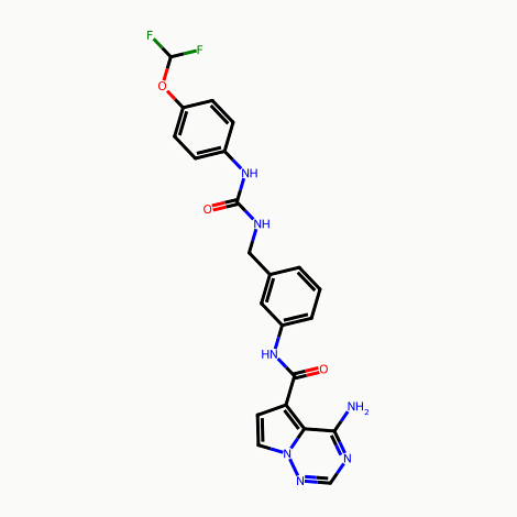 Nc1ncnn2ccc(C(=O)Nc3cccc(CNC(=O)Nc4ccc(OC(F)F)cc4)c3)c12